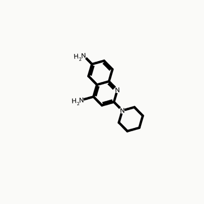 Nc1ccc2nc(N3CCCCC3)cc(N)c2c1